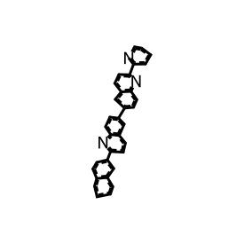 c1ccc(-c2ccc3cc(-c4ccc5nc(-c6ccc7ccccc7c6)ccc5c4)ccc3n2)nc1